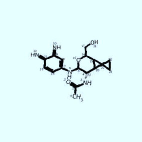 CC(=O)N[C@@H]1C(NC2=CC(=N)C(=N)C=C2)OC(CO)C2C1C21CC1